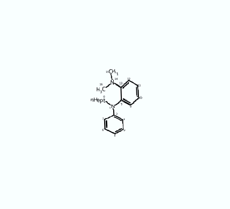 CCCCCCCN(c1ccccc1)c1ccccc1N(C)C